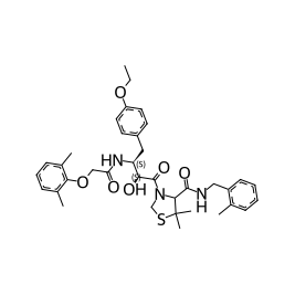 CCOc1ccc(C[C@H](NC(=O)COc2c(C)cccc2C)[C@H](O)C(=O)N2CSC(C)(C)C2C(=O)NCc2ccccc2C)cc1